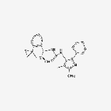 COc1nn(-c2ccccc2)c(NC(=O)NC2c3ccccc3C3(CC3)C[C@@H]2O)c1C